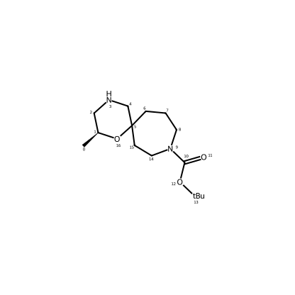 C[C@H]1CNCC2(CCCN(C(=O)OC(C)(C)C)CC2)O1